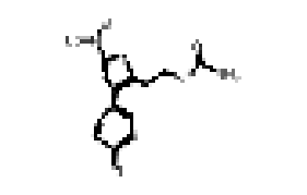 CCN(CC)c1nc(-c2ccc(Cl)cc2)c(CCOC(N)=O)s1